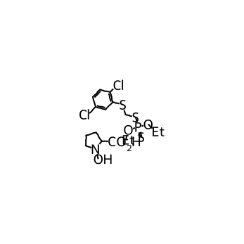 CCOP(=S)(OCC)SCSc1cc(Cl)ccc1Cl.O=C(O)C1CCCN1O